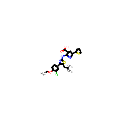 CCOc1ccc(-c2nc(Nc3ncc(-c4cccs4)cc3C(=O)O)sc2CC(C)C)cc1Cl